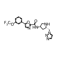 O=C(N[C@H]1CN[C@H](Cn2ccnn2)C1)c1ncc(-c2cccc(OC(F)(F)F)c2)o1